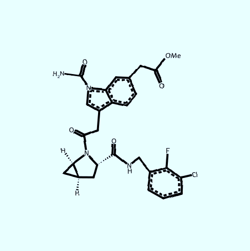 COC(=O)Cc1ccc2c(CC(=O)N3[C@@H]4C[C@@H]4C[C@H]3C(=O)NCc3cccc(Cl)c3F)cn(C(N)=O)c2c1